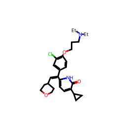 CCN(CC)CCCOc1ccc(C(=CC2CCOCC2)c2ccc(C3CC3)c(=O)[nH]2)cc1Cl